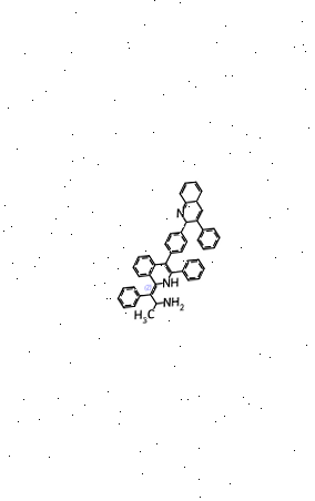 CC(N)/C(=C1\NC(c2ccccc2)=C(c2ccc(C3N=C4C=CC=CC4C=C3c3ccccc3)cc2)c2ccccc21)c1ccccc1